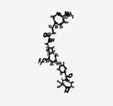 CC1(C)CN(C(=O)c2ccc(-c3cc(C(F)(F)F)c4oc(CNC(=O)C=Cc5ccc(N)nc5)cc4c3)cc2)CCN1